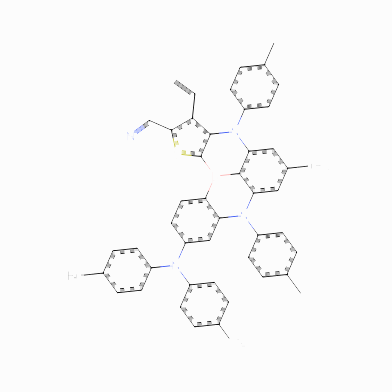 C=Cc1c(C=N)sc2c1N(c1ccc(C)cc1)c1cc(C(C)(C)C)cc3c1B2c1ccc(N(c2ccc(C(C)(C)C)cc2)c2ccc(C(C)(C)C)cc2)cc1N3c1ccc(C)cc1